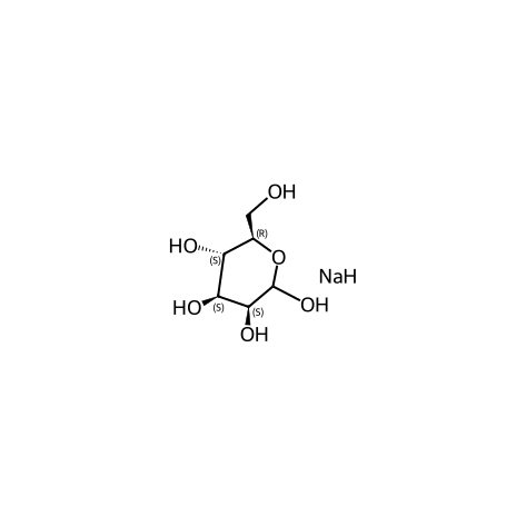 OC[C@H]1OC(O)[C@@H](O)[C@@H](O)[C@@H]1O.[NaH]